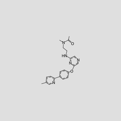 CC(=O)N(C)CCNc1cncc(Oc2ccc(-c3ccc(C)cn3)cc2)n1